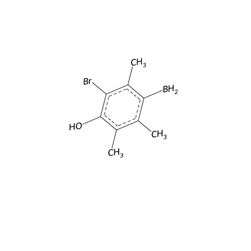 Bc1c(C)c(C)c(O)c(Br)c1C